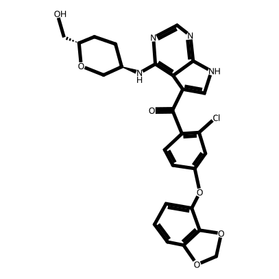 O=C(c1ccc(Oc2cccc3c2OCO3)cc1Cl)c1c[nH]c2ncnc(N[C@@H]3CC[C@@H](CO)OC3)c12